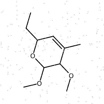 CCC1C=C(C)C(OC)C(OC)O1